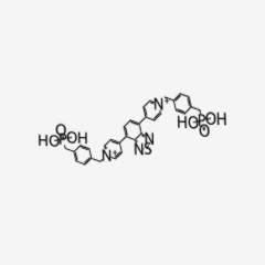 O=P(O)(O)Cc1ccc(C[n+]2ccc(-c3ccc(-c4cc[n+](Cc5ccc(CP(=O)(O)O)cc5)cc4)c4nsnc34)cc2)cc1